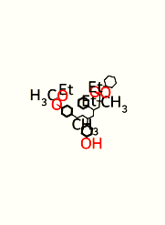 CCOC(C)Oc1ccc(C(C)CC(CC(CC(C)(CC)C(=O)OC2(CC)CCCCC2)c2ccccc2)c2ccc(O)cc2)cc1